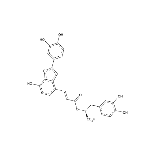 O=C(/C=C/c1ccc(O)c2oc(-c3ccc(O)c(O)c3)cc12)O[C@@H](Cc1ccc(O)c(O)c1)C(=O)O